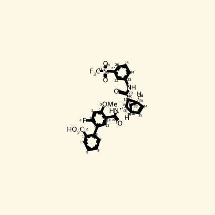 COc1cc(F)c(-c2ccccc2C(=O)O)cc1C(=O)N[C@@H]1[C@H](C(=O)Nc2cccc(S(=O)(=O)C(F)(F)F)c2)[C@H]2C=C[C@@H]1C2